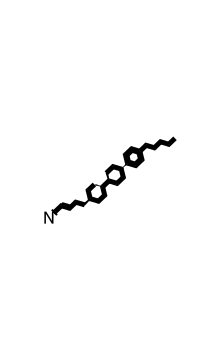 CCCCCc1ccc([C@H]2CC[C@H]([C@H]3CC[C@H](CCC=CC#N)CC3)CC2)cc1